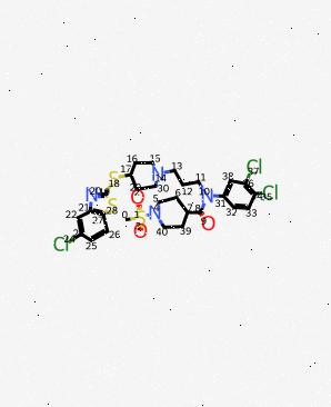 CS(=O)(=O)N1CCC(C(=O)N(CCCN2CCC(Sc3nc4cc(Cl)ccc4s3)CC2)c2ccc(Cl)c(Cl)c2)CC1